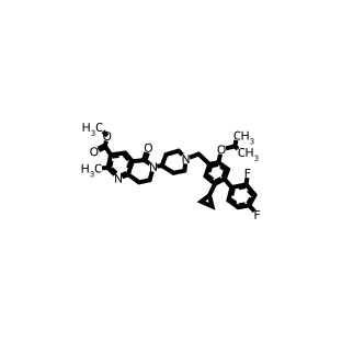 COC(=O)c1cc2c(nc1C)CCN(C1CCN(Cc3cc(C4CC4)c(-c4ccc(F)cc4F)cc3OC(C)C)CC1)C2=O